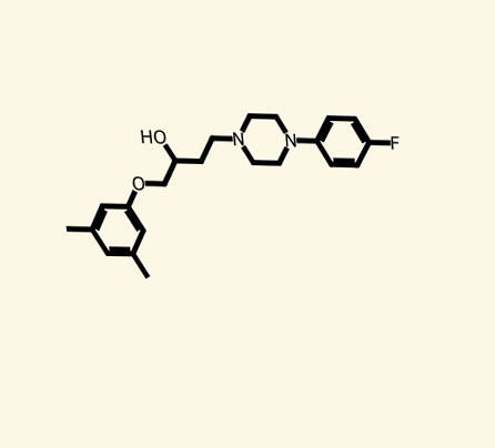 Cc1cc(C)cc(OCC(O)CCN2CCN(c3ccc(F)cc3)CC2)c1